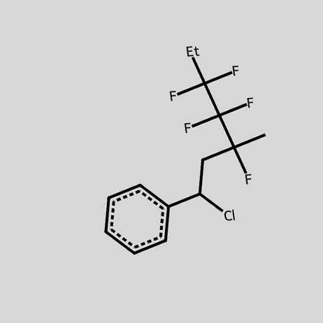 CCC(F)(F)C(F)(F)C(C)(F)CC(Cl)c1ccccc1